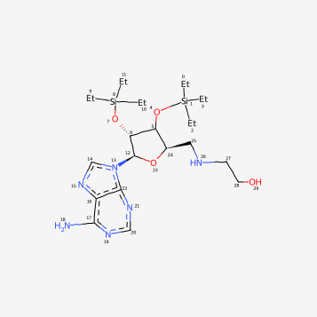 CC[Si](CC)(CC)OC1[C@@H](O[Si](CC)(CC)CC)[C@H](n2cnc3c(N)ncnc32)O[C@@H]1CNCCO